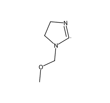 COCN1[C]=NCC1